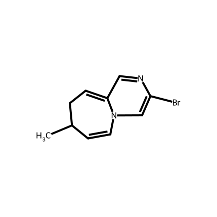 CC1C=CN2C=C(Br)N=CC2=CC1